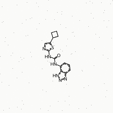 O=C(Nc1ncc(C2CCC2)s1)Nc1cccc2nn[nH]c12